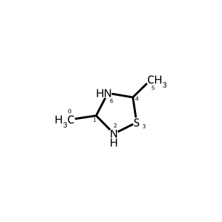 CC1NSC(C)N1